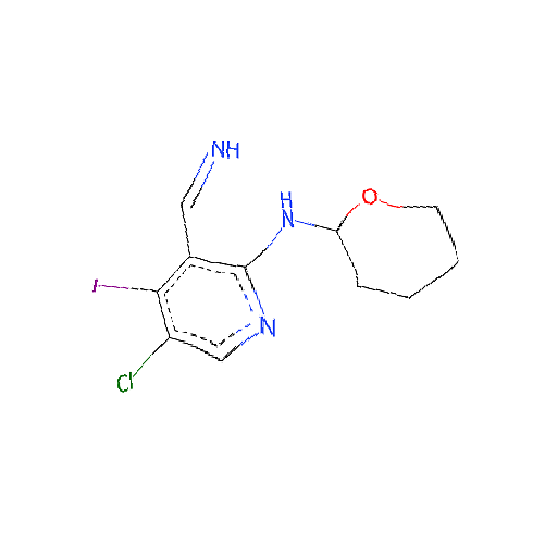 N=Cc1c(NC2CCCCO2)ncc(Cl)c1I